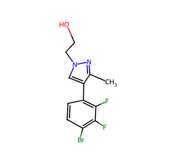 Cc1nn(CCO)cc1-c1ccc(Br)c(F)c1F